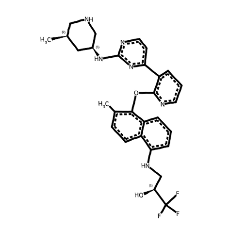 Cc1ccc2c(NC[C@H](O)C(F)(F)F)cccc2c1Oc1ncccc1-c1ccnc(N[C@@H]2CNC[C@H](C)C2)n1